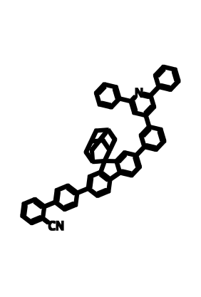 N#Cc1ccccc1-c1ccc(-c2ccc3c(c2)C2(c4cc(-c5cccc(-c6cc(-c7ccccc7)nc(-c7ccccc7)c6)c5)ccc4-3)C3CC4CC(C3)CC2C4)cc1